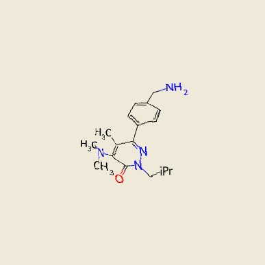 Cc1c(-c2ccc(CN)cc2)nn(CC(C)C)c(=O)c1N(C)C